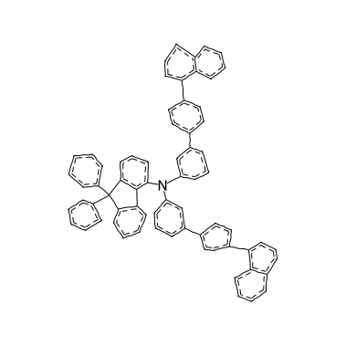 c1ccc(C2(c3ccccc3)c3ccccc3-c3c(N(c4cccc(-c5ccc(-c6cccc7ccccc67)cc5)c4)c4cccc(-c5ccc(-c6cccc7ccccc67)cc5)c4)cccc32)cc1